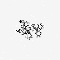 N#Cc1cccc2c1oc1c(C#N)cc3c4ccccc4n(-c4cccc(-n5c6ccccc6c6ccccc65)c4)c3c12